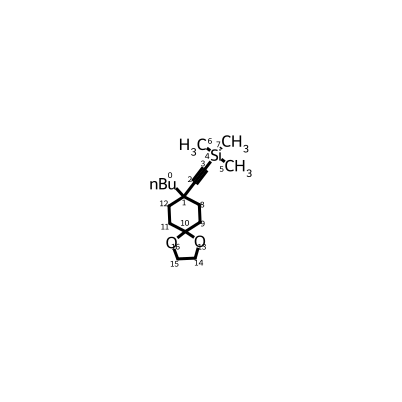 CCCCC1(C#C[Si](C)(C)C)CCC2(CC1)OCCO2